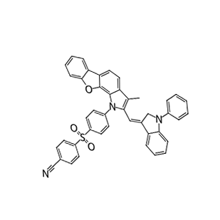 Cc1c(/C=C2\CN(c3ccccc3)c3ccccc32)n(-c2ccc(S(=O)(=O)c3ccc(C#N)cc3)cc2)c2c1ccc1c3ccccc3oc12